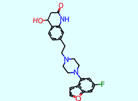 O=C1CC(O)c2ccc(CCN3CCN(c4cc(F)cc5occc45)CC3)cc2N1